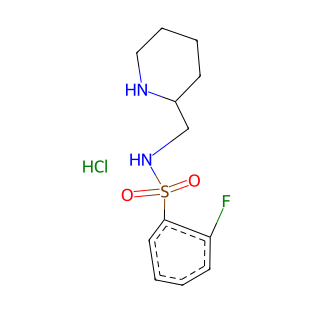 Cl.O=S(=O)(NCC1CCCCN1)c1ccccc1F